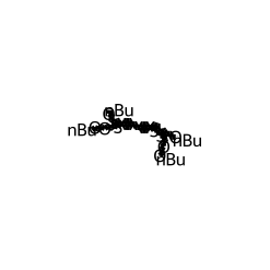 CCCCOCCOCCc1sc(-c2ccc(/C=C/c3ccc(-c4ccc(-c5cc(CCOCCCC)c(CCOCCOCCCC)s5)s4)cc3)cc2)cc1CCOCCCC